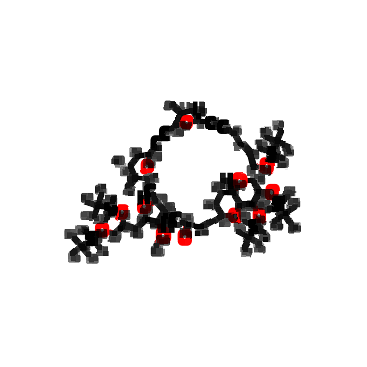 C=C1C[C@@H]2CCC/C=C/C(O[Si](C)(C)C(C)(C)C)C3O[C@H]4CCC(CC(=O)C[C@H]5[C@H](CC6OC(CCC1O2)C[C@@H](C)C6=C)OC(CC(CO[Si](C)(C)C(C)(C)C)O[Si](C)(C)C(C)(C)C)[C@@H]5OC)OC4C(O[Si](C)(C)C(C)(C)C)C3O[Si](C)(C)C(C)(C)C